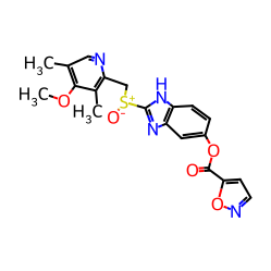 COc1c(C)cnc(C[S+]([O-])c2nc3cc(OC(=O)c4ccno4)ccc3[nH]2)c1C